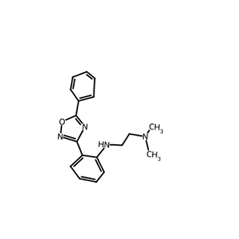 CN(C)CCNc1ccccc1-c1noc(-c2ccccc2)n1